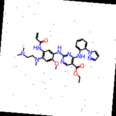 C=CC(=O)Nc1cc(Nc2ncc(C(=O)OCC)c(Nc3ccccc3-n3cccn3)n2)c(OC)cc1N(C)CCN(C)C